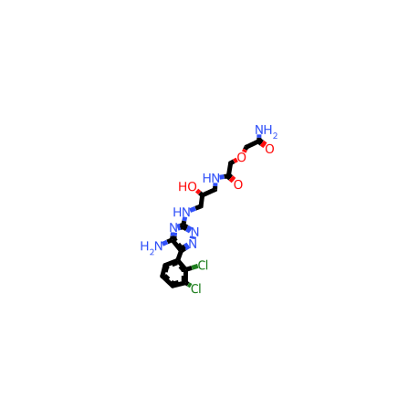 NC(=O)COCC(=O)NCC(O)CNc1nnc(-c2cccc(Cl)c2Cl)c(N)n1